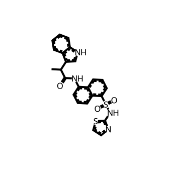 CC(C(=O)Nc1cccc2c(S(=O)(=O)Nc3nccs3)cccc12)c1c[nH]c2ccccc12